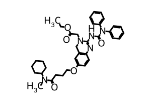 CCOC(=O)CN1Cc2cc(OCCCC(=O)N(C)C3CCCCC3)ccc2N=C1NC(=O)N(c1ccccc1)c1ccccc1